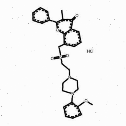 COc1ccccc1N1CCN(CCS(=O)(=O)Cc2cccc3c(=O)c(C)c(-c4ccccc4)oc23)CC1.Cl